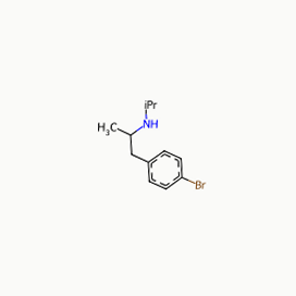 CC(C)NC(C)Cc1ccc(Br)cc1